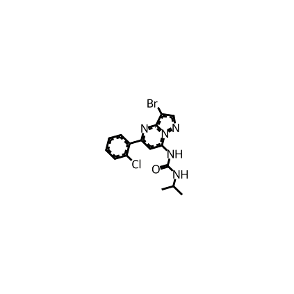 CC(C)NC(=O)Nc1cc(-c2ccccc2Cl)nc2c(Br)cnn12